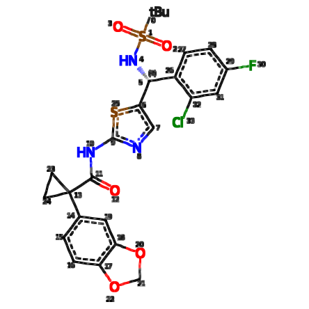 CC(C)(C)S(=O)(=O)N[C@@H](c1cnc(NC(=O)C2(c3ccc4c(c3)OCO4)CC2)s1)c1ccc(F)cc1Cl